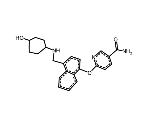 NC(=O)c1ccc(Oc2ccc(CNC3CCC(O)CC3)c3ccccc23)nc1